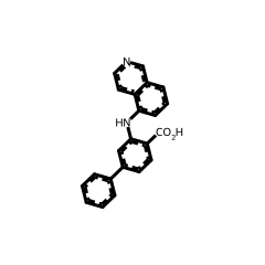 O=C(O)c1ccc(-c2ccccc2)cc1Nc1cccc2cnccc12